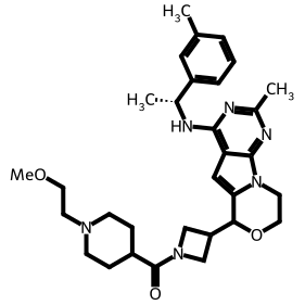 COCCN1CCC(C(=O)N2CC(C3OCCn4c3cc3c(N[C@H](C)c5cccc(C)c5)nc(C)nc34)C2)CC1